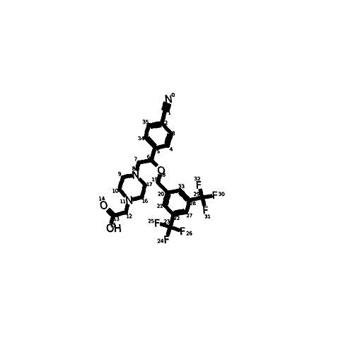 N#Cc1ccc(C(CN2CCN(CC(=O)O)CC2)OCc2cc(C(F)(F)F)cc(C(F)(F)F)c2)cc1